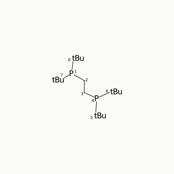 CC(C)(C)P(CCP(C(C)(C)C)C(C)(C)C)C(C)(C)C